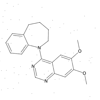 COc1cc2ncnc(N3CCCCc4ccccc43)c2cc1OC